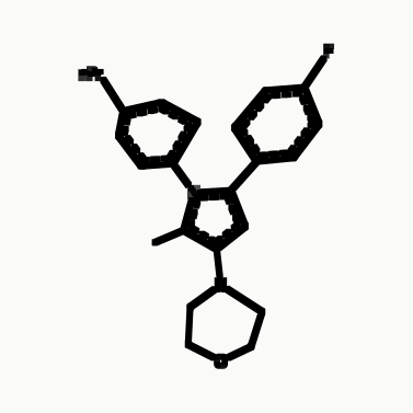 CCCc1ccc(-n2c(-c3ccc(F)cc3)cc(N3CCOCC3)c2C)cc1